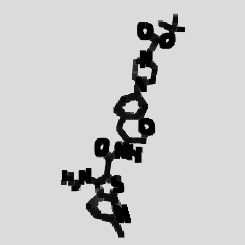 Cc1ccc2c(N)c(C(=O)N[C@H]3COc4cc(N5CCN(C(=O)OC(C)(C)C)CC5)ccc4C3)sc2n1